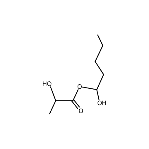 CCCCC(O)OC(=O)C(C)O